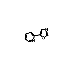 [c]1ncc(-c2ccccn2)o1